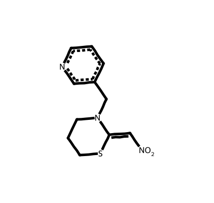 O=[N+]([O-])C=C1SCCCN1Cc1cccnc1